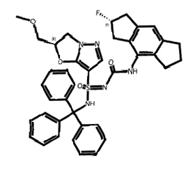 COC[C@H]1Cn2ncc(S(=O)(=NC(=O)Nc3c4c(cc5c3C[C@H](F)C5)CCC4)NC(c3ccccc3)(c3ccccc3)c3ccccc3)c2O1